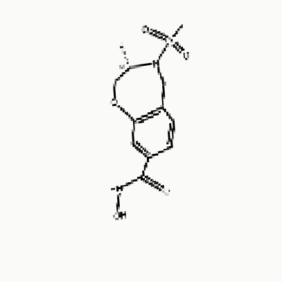 C[C@H]1COc2cc(C(=O)NO)ccc2CN1S(C)(=O)=O